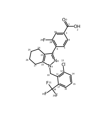 O=C(O)c1ccc(-c2nn(Cc3c(Cl)cccc3C(F)(F)F)c3c2CCCC3)c(F)c1